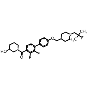 CC(C)(F)CN1CCC(COc2ccc(-c3ccc(C(=O)N4CCCC(O)C4)c(F)c3F)cc2)CC1